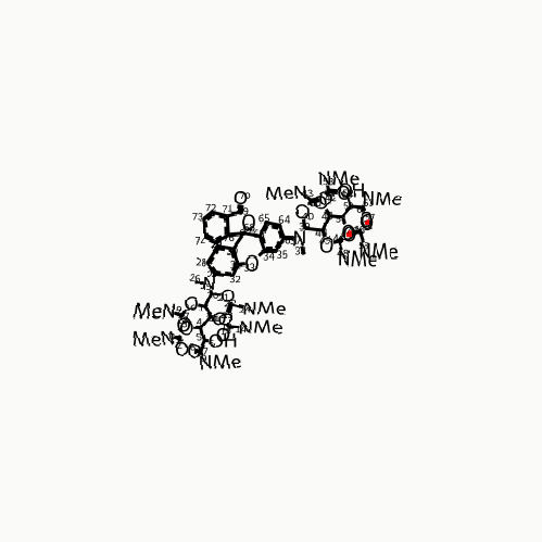 CNC(=O)OC(C(O)C(=O)NC)C(OC(=O)NC)C(OC(=O)NC)C(OC(=O)NC)N(C)c1ccc2c(c1)Oc1cc(N(C)C(OC(=O)NC)C(OC(=O)NC)C(OC(=O)NC)C(OC(=O)NC)C(O)C(=O)NC)ccc1C21OC(=O)c2ccccc21